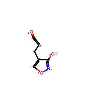 O=C=CCc1[c]onc1O